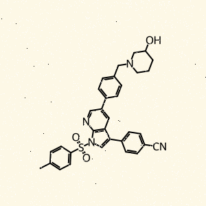 Cc1ccc(S(=O)(=O)n2cc(-c3ccc(C#N)cc3)c3cc(-c4ccc(CN5CCCC(O)C5)cc4)cnc32)cc1